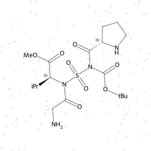 COC(=O)[C@H](C(C)C)N(C(=O)CN)S(=O)(=O)N(C(=O)OC(C)(C)C)C(=O)[C@@H]1CCCN1